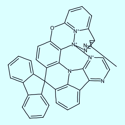 Cc1cc2n(n1)[N+]13c4c(ccc5c4-n4c6c(cccc6c6ncc[n+]1c64)C51c4ccccc4-c4ccccc41)Oc1cccc-2[n+]13